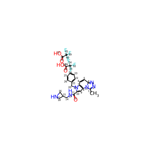 Cc1nnc2ccc3c(cc(C(=O)NCC4CNC4)n3Cc3ccccc3)n12.O=C(O)C(F)(F)F.O=C(O)C(F)(F)F